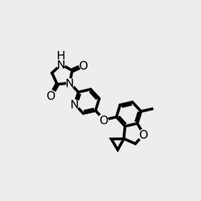 Cc1ccc(Oc2ccc(N3C(=O)CNC3=O)nc2)c2c1OCC21CC1